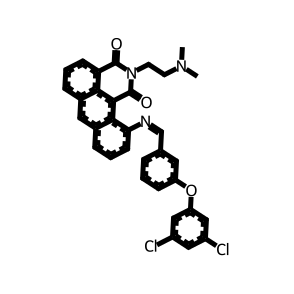 CN(C)CCN1C(=O)c2cccc3cc4cccc(/N=C\c5cccc(Oc6cc(Cl)cc(Cl)c6)c5)c4c(c23)C1=O